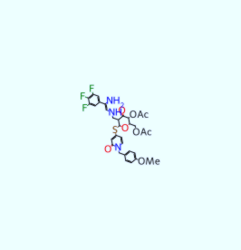 COc1ccc(Cn2ccc(SC3OC(COC(C)=O)C(OC(C)=O)C(=O)C3CN/C=C(\N)c3cc(F)c(F)c(F)c3)cc2=O)cc1